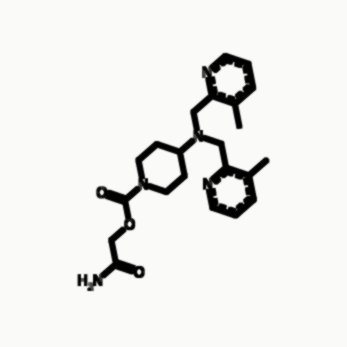 Cc1cccnc1CN(Cc1ncccc1C)C1CCN(C(=O)OCC(N)=O)CC1